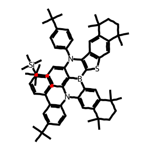 CC(C)(C)c1ccc(N2c3cc(C(C)(C)C)cc4c3B(c3cc5c(cc3N4c3ccc(C(C)(C)C)cc3-c3ccc([Si](C)(C)C)cc3)C(C)(C)CCC5(C)C)c3sc4cc5c(cc4c32)C(C)(C)CCC5(C)C)cc1